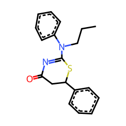 CCCN(C1=NC(=O)CC(c2ccccc2)S1)c1ccccc1